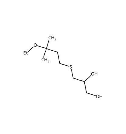 CCOC(C)(C)CCSCC(O)CO